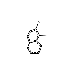 [O]c1ccc2ccccc2c1F